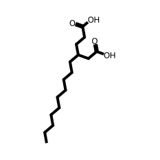 CCCCCCCCCCC(CCC(=O)O)CC(=O)O